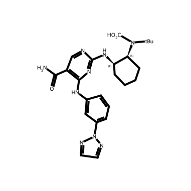 CC(C)(C)N(C(=O)O)[C@H]1CCCC[C@H]1Nc1ncc(C(N)=O)c(Nc2cccc(-n3nccn3)c2)n1